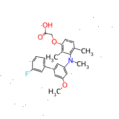 COc1cc(-c2cccc(F)c2)cc(N(C)c2c(C)ccc(OCC(=O)O)c2C)c1